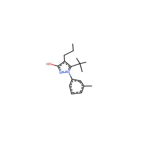 CCCc1c(O)nn(-c2cccc(C)c2)c1C(C)(C)C